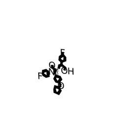 O=C1[C@H](CC=C(CO)c2ccc(F)cc2)[C@@H](c2ccc(Oc3ccccc3)cc2)N1c1ccc(F)cc1